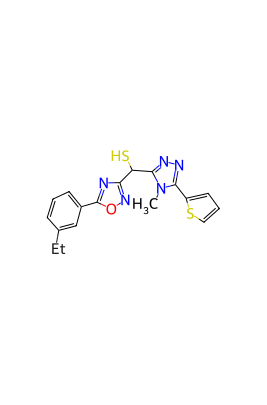 CCc1cccc(-c2nc(C(S)c3nnc(-c4cccs4)n3C)no2)c1